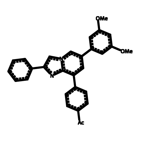 COc1cc(OC)cc(-c2cc(-c3ccc(C(C)=O)cc3)c3nc(-c4ccccc4)cn3c2)c1